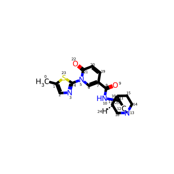 Cc1cnc(-n2cc(C(=O)N[C@@H]3CN4CCC3CC4)ccc2=O)s1